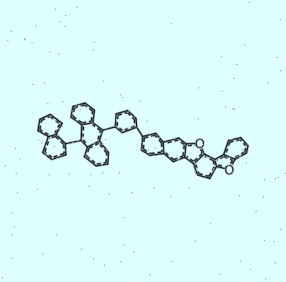 c1cc(-c2ccc3cc4c(cc3c2)oc2c4ccc3oc4ccccc4c32)cc(-c2c3ccccc3c(-c3cccc4ccccc34)c3ccccc23)c1